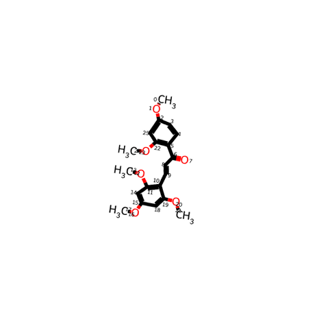 COc1ccc(C(=O)C=Cc2c(OC)cc(OC)cc2OC)c(OC)c1